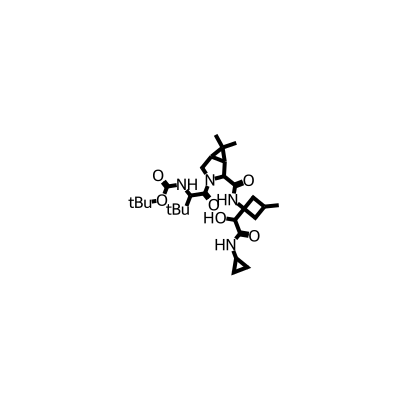 CC1CC(NC(=O)C2C3C(CN2C(=O)C(NC(=O)OC(C)(C)C)C(C)(C)C)C3(C)C)(C(O)C(=O)NC2CC2)C1